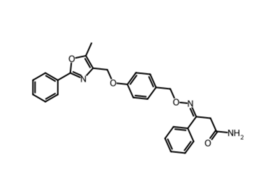 Cc1oc(-c2ccccc2)nc1COc1ccc(CON=C(CC(N)=O)c2ccccc2)cc1